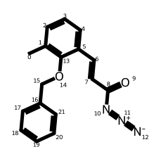 Cc1cccc(C=CC(=O)N=[N+]=[N-])c1OCc1ccccc1